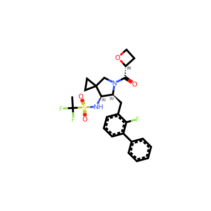 CC(F)(F)S(=O)(=O)N[C@@H]1[C@H](Cc2cccc(-c3ccccc3)c2F)N(C(=O)[C@H]2CCO2)CC12CC2